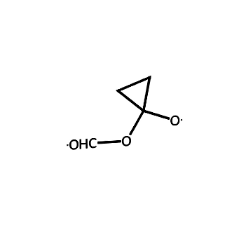 [O]C1(O[C]=O)CC1